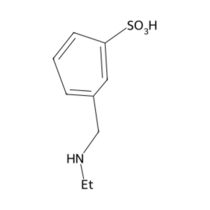 CCNCc1cccc(S(=O)(=O)O)c1